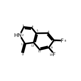 C=C1NC=Cc2cc(F)c(F)cc21